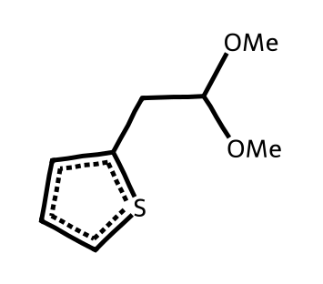 COC(Cc1cccs1)OC